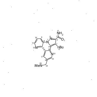 CCCCc1c(C(N)=O)nn(-c2cccnc2)c1-c1ccc(CNC)cn1